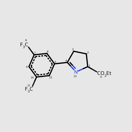 CCOC(=O)C1CCC(c2cc(C(F)(F)F)cc(C(F)(F)F)c2)=N1